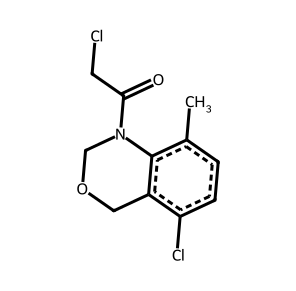 Cc1ccc(Cl)c2c1N(C(=O)CCl)COC2